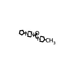 CC1CCN(CC(=O)N2CCN(C3CCCC3)CC2)CC1